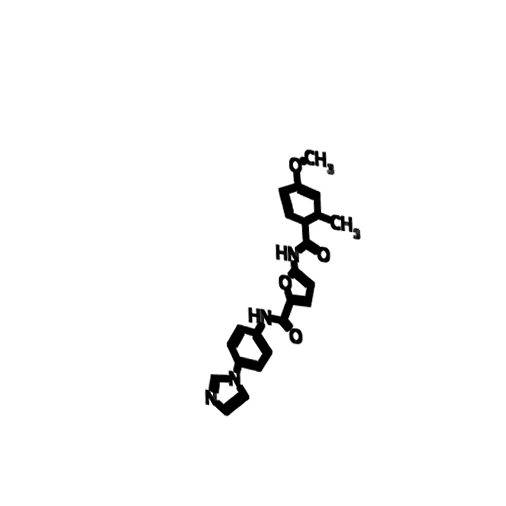 COC1=CC(C)C(C(=O)Nc2ccc(C(=O)Nc3ccc(-n4ccnc4)cc3)o2)C=C1